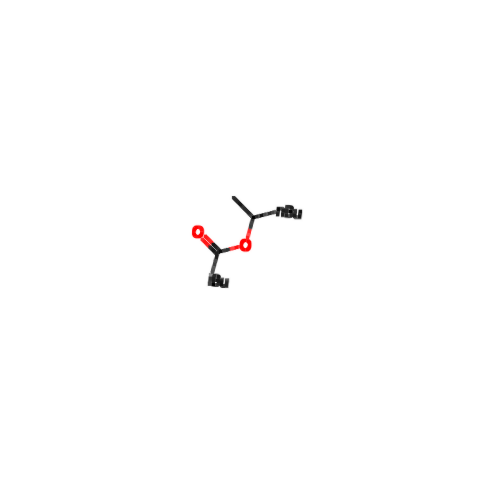 CCCCC(C)OC(=O)C(C)CC